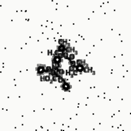 Cc1cc(C)c(C(=O)OCC(=O)COC(=O)c2c(C)cc(C)cc2C)c(C)c1.O=C(N[C@@H](Cc1ccccc1)C(=O)N[C@@H](COCc1ccccc1)C(=O)O)OCc1ccccc1